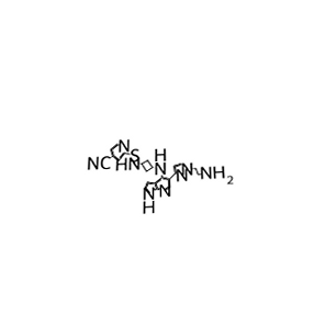 N#Cc1ccnc(SN[C@H]2C[C@@H](Nc3c(-c4ccn(CCN)n4)cnc4[nH]ccc34)C2)c1